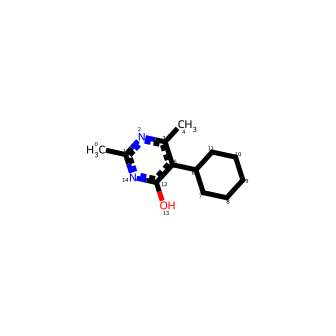 Cc1nc(C)c(C2CCCCC2)c(O)n1